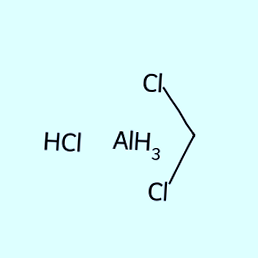 Cl.ClCCl.[AlH3]